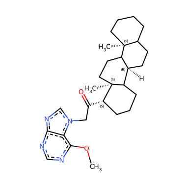 COc1ncnc2ncn(CC(=O)[C@H]3CCCC4[C@@H]5CCC6CCCC[C@]6(C)C5CC[C@@]43C)c12